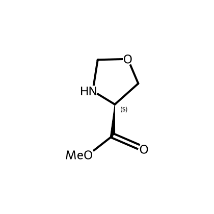 COC(=O)[C@@H]1COCN1